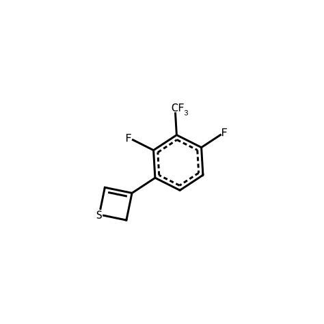 Fc1ccc(C2=CSC2)c(F)c1C(F)(F)F